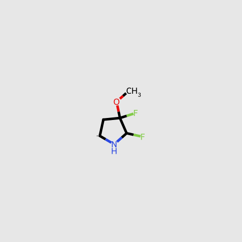 COC1(F)C[CH]NC1F